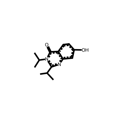 CC(C)c1nc2cc(O)ccc2c(=O)n1C(C)C